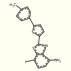 Cc1ccc(-c2ccc(-c3nc4c(N)ccc(I)c4s3)s2)cc1